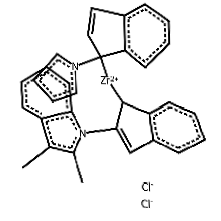 Cc1c(C)n(C2=Cc3ccccc3[CH]2[Zr+2][C]2(n3cccc3)C=Cc3ccccc32)c2ccccc12.[Cl-].[Cl-]